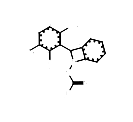 N=C(N)NN1c2ccccc2C1c1c(Cl)ccc(Cl)c1Cl